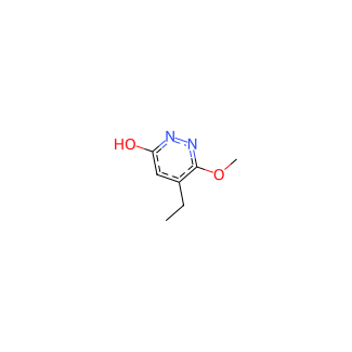 CCc1cc(O)nnc1OC